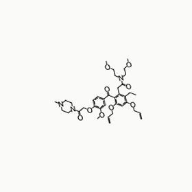 C=CCOc1cc(OCC=C)c(C(=O)c2ccc(OCC(=O)N3CCN(C)CC3)c(OC)c2)c(CC(=O)N(CCOC)CCOC)c1CC